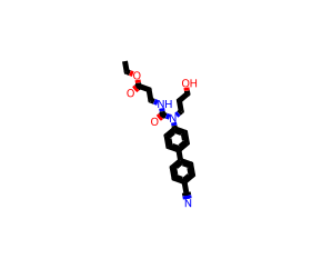 CCOC(=O)CCNC(=O)N(CCCO)c1ccc(-c2ccc(C#N)cc2)cc1